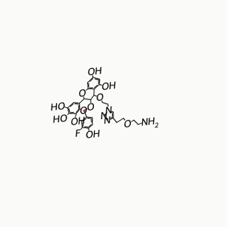 NCCOCCc1cn(CCOC2c3c(O)cc(O)cc3OC(c3cc(O)c(O)c(O)c3)C2OC(=O)c2ccc(O)c(F)c2)nn1